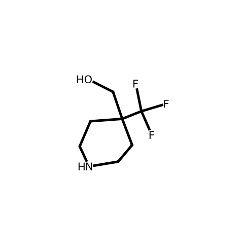 OCC1(C(F)(F)F)CCNCC1